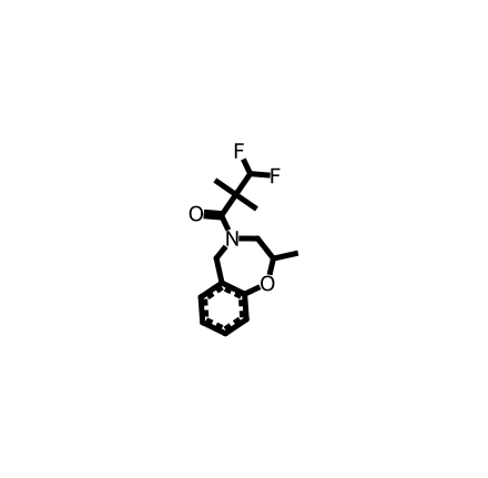 CC1CN(C(=O)C(C)(C)C(F)F)Cc2ccccc2O1